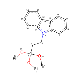 CCO[Si](CCn1c2ccccc2c2ccccc21)(OCC)OCC